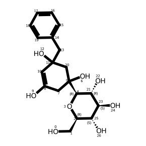 OC[C@H]1O[C@@H](C2(O)CC(O)=CC(O)(Cc3ccccc3)C2)[C@H](O)[C@@H](O)[C@@H]1O